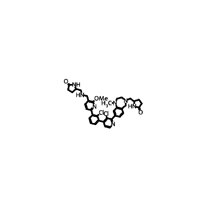 COc1nc(-c2cccc(-c3ccnc(-c4ccc5c(c4)N(C)CCN(CC4CCC(=O)N4)C5)c3Cl)c2Cl)ccc1CNCC1CCC(=O)N1